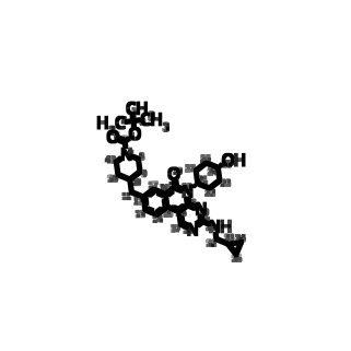 CC(C)(C)OC(=O)N1CCC(Cc2ccc3c(c2)c(=O)n([C@H]2CC[C@H](O)CC2)c2nc(NCC4CC4)ncc32)CC1